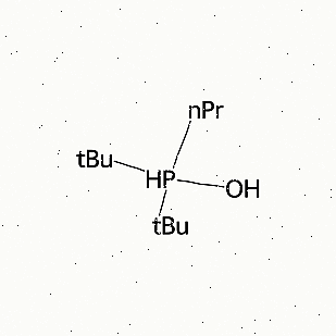 CCC[PH](O)(C(C)(C)C)C(C)(C)C